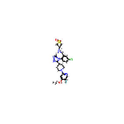 COc1cc(N2CCC(c3nnc4n3-c3ccc(Cl)cc3CN(C3CS(=O)(=O)C3)C4)CC2)ncc1F